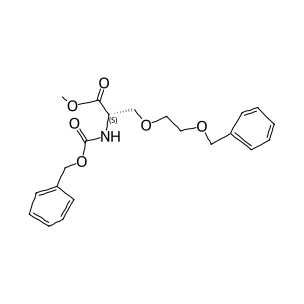 COC(=O)[C@H](COCCOCc1ccccc1)NC(=O)OCc1ccccc1